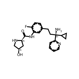 N[C@](CCc1ccc(F)c(NC(=O)[C@H]2C[C@@H](O)CN2)c1)(c1ccccn1)C1CC1